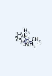 C\C=C/C=c1/c(C)c2ccccc2c/c1=C/C